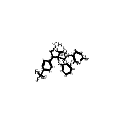 CN1CC(c2ccc(C(F)(F)F)cc2)C(Sc2ccccc2)(C(=O)Nc2ccc(F)nc2F)C1=O